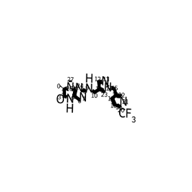 C[C@H]1C(=O)Nc2cnc(NCc3cnn(Cc4ccc(C(F)(F)F)nc4)c3)nc2N1C